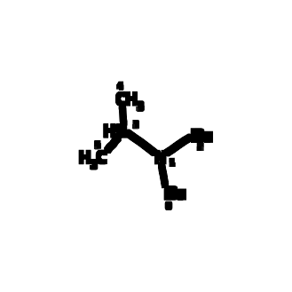 CCC(C)N(C(C)CC)[SiH](C)C